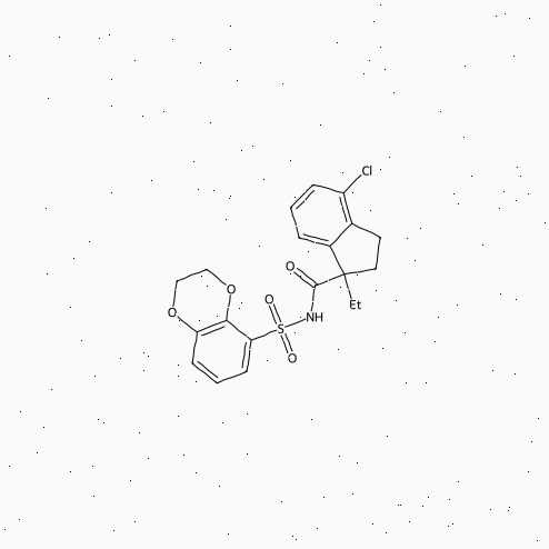 CCC1(C(=O)NS(=O)(=O)c2cccc3c2OCCO3)CCc2c(Cl)cccc21